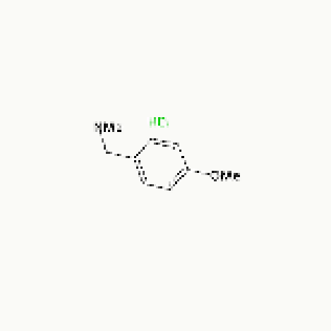 CNCc1ccc(OC)cc1.Cl